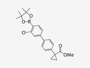 COC(=O)C1(c2ccc(-c3ccc(B4OC(C)(C)C(C)(C)O4)c(Cl)c3)cc2)CC1